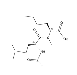 CCCC[C@@H](C(=O)O)N(C)C(=O)[C@H](CCC(C)C)NC(C)=O